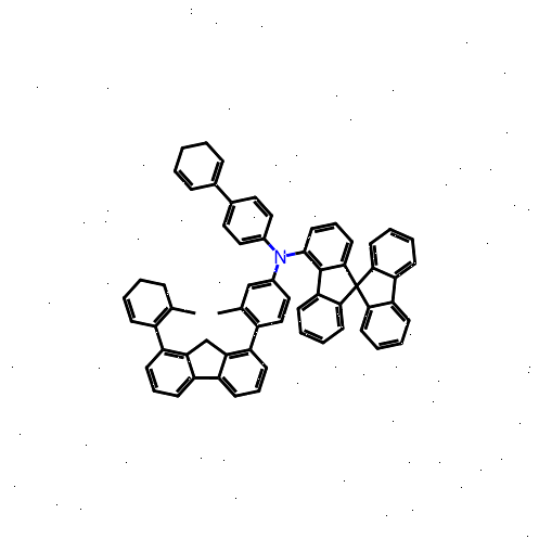 CC1=C(c2cccc3c2Cc2c(-c4ccc(N(c5ccc(C6=CCCC=C6)cc5)c5cccc6c5-c5ccccc5C65c6ccccc6-c6ccccc65)cc4C)cccc2-3)C=CCC1